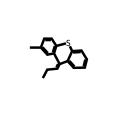 CC/C=C1/c2ccccc2Sc2ccc(C)cc21